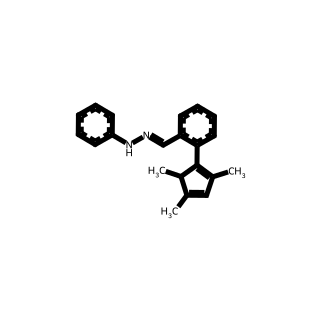 CC1=CC(C)=C(c2ccccc2C=NNc2ccccc2)C1C